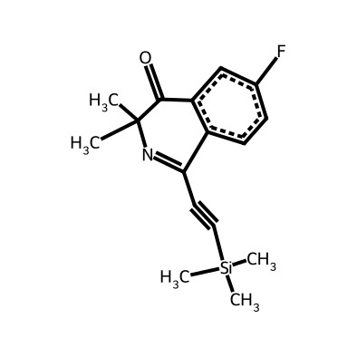 CC1(C)N=C(C#C[Si](C)(C)C)c2ccc(F)cc2C1=O